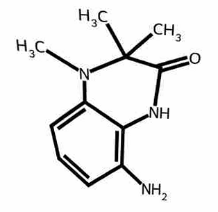 CN1c2cccc(N)c2NC(=O)C1(C)C